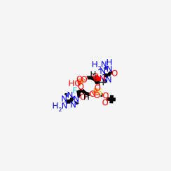 CC(C)(C)C(=O)OCSP1(=O)OC[C@H]2O[C@@H](n3cnc4c(N)ncnc43)[C@@H](F)C2OP(=O)(O)OC[C@H]2O[C@@H](n3cnc4c(=O)[nH]c(N)nc43)[C@@H](O1)C2O